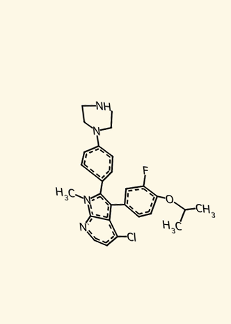 CC(C)Oc1ccc(-c2c(-c3ccc(N4CCNCC4)cc3)n(C)c3nccc(Cl)c23)cc1F